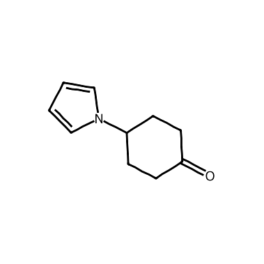 O=C1CCC(n2cccc2)CC1